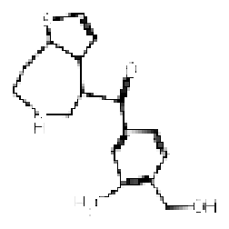 Cc1cc(C(=O)C2CNCCC3SC=CC32)ccc1CO